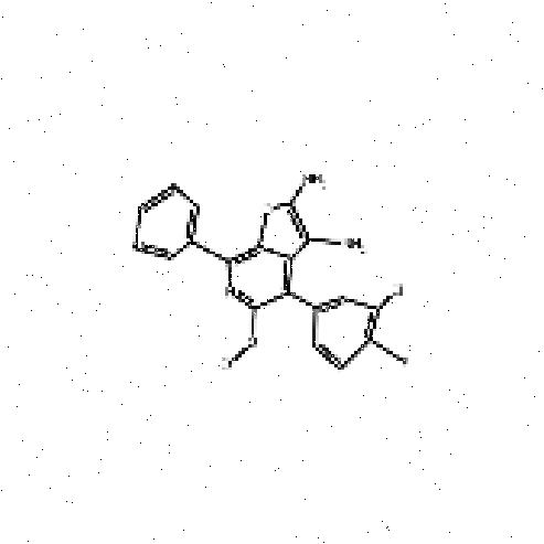 CCOc1nc(-c2ccccc2)c2oc(N)c(N)c2c1-c1ccc(F)c(Cl)c1